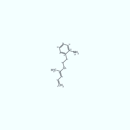 C=C/C=C(\C)OCCc1ccccc1N